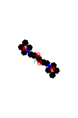 Fc1c2oc3cc4cc(N(c5ccccc5)c5cccc6c5oc5c(-c7ccccc7)cccc56)ccc4cc3c2cc2oc3cc4cc(N(c5ccccc5)c5cccc6c5oc5c(-c7ccccc7)cccc56)ccc4cc3c12